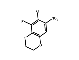 O=[N+]([O-])c1cc2c(c(Br)c1Cl)OCCO2